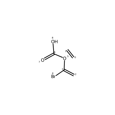 C=C.C=C(Br)OC(=O)O